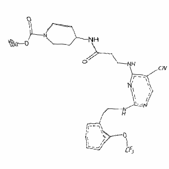 CC(C)(C)OC(=O)N1CCC(NC(=O)CCNc2nc(NCc3ccccc3OC(F)(F)F)ncc2C#N)CC1